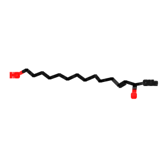 COC(=O)C=CCCCCCCCCCCCO